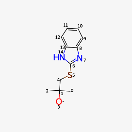 CC(C)([O])CSc1nc2ccccc2[nH]1